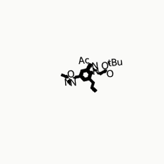 C=CCc1cc(-c2nnc(C)o2)cc2c(C(C)=O)nn(CC(=O)OC(C)(C)C)c12